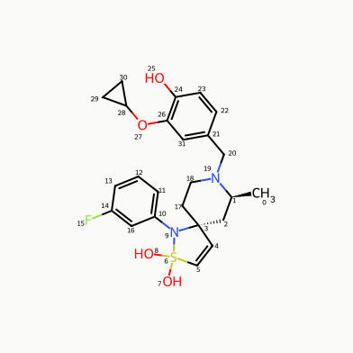 C[C@H]1C[C@@]2(C=CS(O)(O)N2c2cccc(F)c2)CCN1Cc1ccc(O)c(OC2CC2)c1